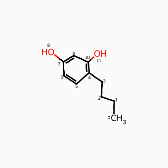 CCCCc1ccc(O)cc1O